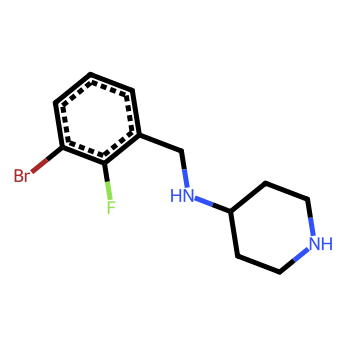 Fc1c(Br)cccc1CNC1CCNCC1